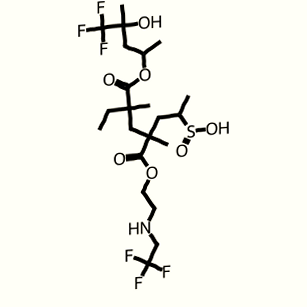 CCC(C)(CC(C)(CC(C)S(=O)O)C(=O)OCCNCC(F)(F)F)C(=O)OC(C)CC(C)(O)C(F)(F)F